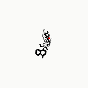 CCS(CC)(OS(=O)(=O)C(F)(F)C(F)(F)C(F)(F)C(F)(F)F)c1ccc(C)c2ccccc12